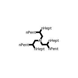 CCCCCCCC(CCCCC)[CH2][Al]([CH2]C(CCCCC)CCCCCCC)[CH2]C(CCCCC)CCCCCCC